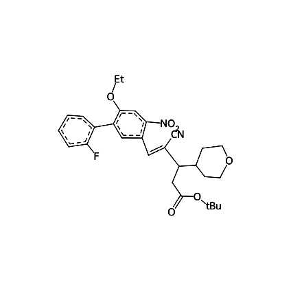 CCOc1cc([N+](=O)[O-])c(C=C(C#N)C(CC(=O)OC(C)(C)C)C2CCOCC2)cc1-c1ccccc1F